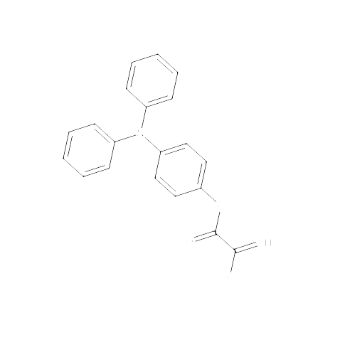 C=C(C)C(=O)Oc1ccc(N(c2ccccc2)c2ccccc2)cc1